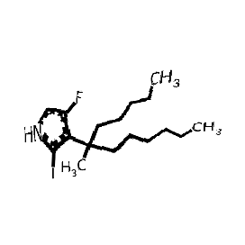 CCCCCCC(C)(CCCCC)c1c(F)c[nH]c1I